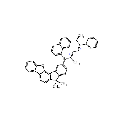 C=C/C(=C\C=C(/C)N(c1ccc2c(c1)-c1c(ccc3c1oc1ccccc13)C2(C)C)c1cccc2ccccc12)c1ccccc1